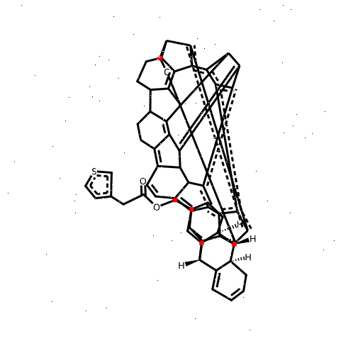 O=C(Cc1ccsc1)OCC1C=C2[C@H]3C4=CC=CC[C@@H]4[C@@H]([C@@H]2CC1)[C@@]12c4c5c6c7c8c9c%10c%11c(c48)C1CCC%11C1CCC4C(=C%101)C1C8=C%10C(=C%11C=CC(=C5CC32)C6C%11C%10=C7C91)CCC84